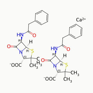 CC1(C)S[C@@H]2[C@H](NC(=O)Cc3ccccc3)C(=O)N2[C@H]1C(=O)[O-].CC1(C)S[C@@H]2[C@H](NC(=O)Cc3ccccc3)C(=O)N2[C@H]1C(=O)[O-].[Ca+2]